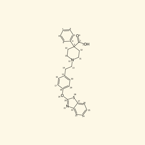 O=C(O)C1(c2ccccc2)CCN(CCc2ccc(Oc3nc4ccccc4s3)cc2)CC1